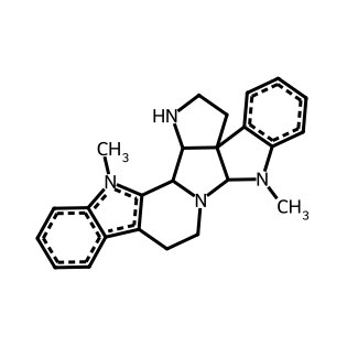 CN1c2ccccc2C23CCNC2C2c4c(c5ccccc5n4C)CCN2C13